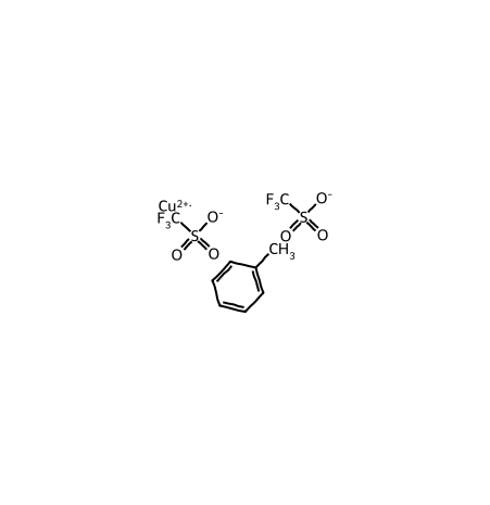 Cc1ccccc1.O=S(=O)([O-])C(F)(F)F.O=S(=O)([O-])C(F)(F)F.[Cu+2]